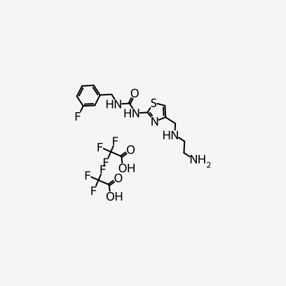 NCCNCc1csc(NC(=O)NCc2cccc(F)c2)n1.O=C(O)C(F)(F)F.O=C(O)C(F)(F)F